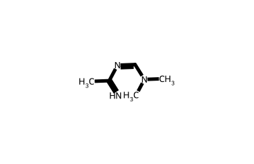 CC(=N)/N=C\N(C)C